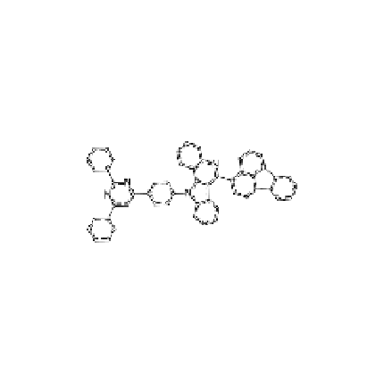 c1ccc(-c2cc(-c3ccc(-n4c5ccccc5c5c(-c6ccc7c8c(cccc68)-c6ccccc6-7)nc6ccccc6c54)cc3)nc(-c3ccccc3)n2)cc1